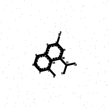 Cc1cccc2cc(F)cc(C(C)C)c12